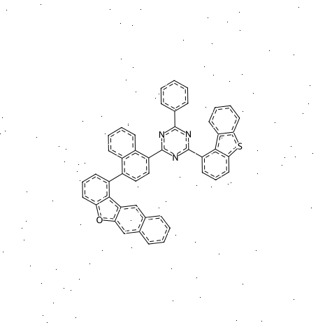 c1ccc(-c2nc(-c3ccc(-c4cccc5oc6cc7ccccc7cc6c45)c4ccccc34)nc(-c3cccc4sc5ccccc5c34)n2)cc1